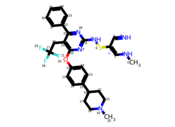 CN/C=C(\C=N)SNc1nc(Oc2ccc(C3CCN(C)CC3)cc2)c(CC(F)(F)F)c(-c2ccccc2)n1